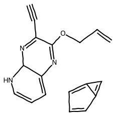 C#CC1=NC2NC=CC=C2N=C1OCC=C.c1cc2cc-2c1